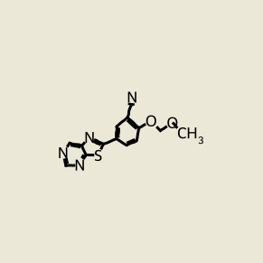 COCOc1ccc(-c2nc3cncnc3s2)cc1C#N